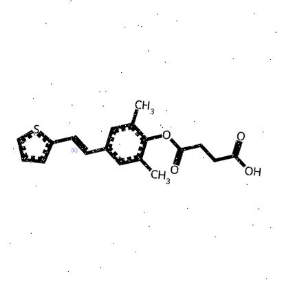 Cc1cc(/C=C/c2cccs2)cc(C)c1OC(=O)CCC(=O)O